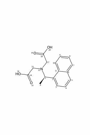 C[C@H](c1cccc2ccccc12)N(CC(=O)O)CC(=O)O